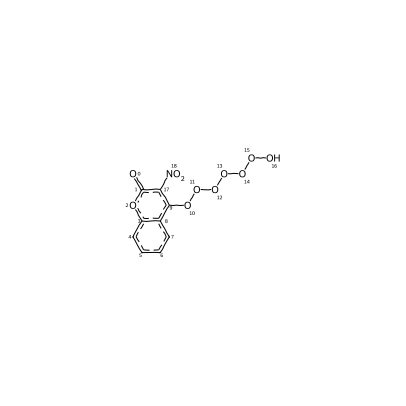 O=c1oc2ccccc2c(OOOOOOO)c1[N+](=O)[O-]